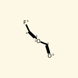 O=[C]OC=CF